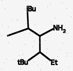 CCC(C)C(C)C(N)C(CC)C(C)(C)C